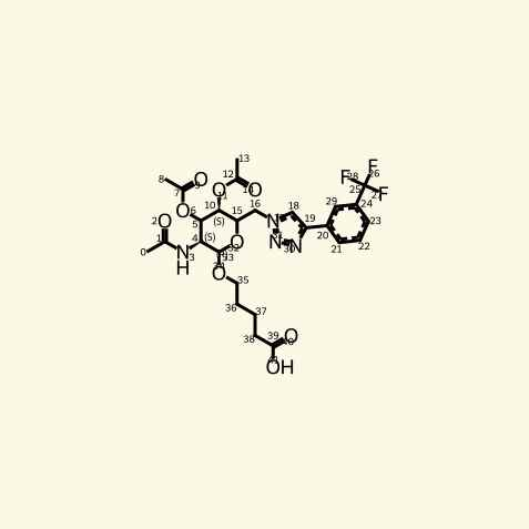 CC(=O)N[C@H]1C(OC(C)=O)[C@@H](OC(C)=O)C(Cn2cc(-c3cccc(C(F)(F)F)c3)nn2)O[C@H]1OCCCCC(=O)O